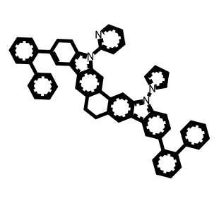 C1=C(c2ccccc2-c2ccccc2)CCc2c1c1cc3c(cc1n2-c1ccccn1)-c1cc2c(cc1CC3)c1cc(-c3ccccc3-c3ccccc3)ccc1n2-n1cccc1